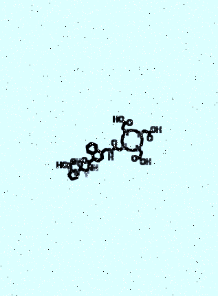 C[C@@H](NC(=O)c1ccc(CNC(=O)CN2CCN(CC(=O)O)CCN(CC(=O)O)CCN(CC(=O)O)CC2)c2ccccc12)C(=O)N1CCC[C@H]1B(O)O